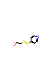 OCCSSc1ccncc1